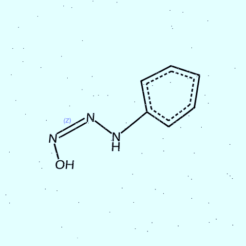 O/N=N\Nc1ccccc1